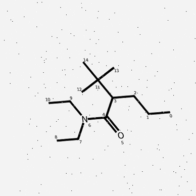 CCCC(C(=O)N(CC)CC)C(C)(C)C